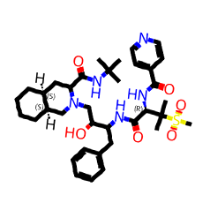 CC(C)(C)NC(=O)C1C[C@@H]2CCCC[C@@H]2CN1CC(O)C(Cc1ccccc1)NC(=O)[C@@H](NC(=O)c1ccncc1)C(C)(C)S(C)(=O)=O